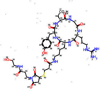 N=C(N)NCCC[C@@H]1NC(=O)CNC(=O)[C@H](CC(=O)O)NC(=O)[C@H](Cc2ccc(O)cc2)NC(=O)[C@H](CCCCNC(=O)CCSC2CC(=O)N(CCC(=O)NCCO)C2=O)NC1=O